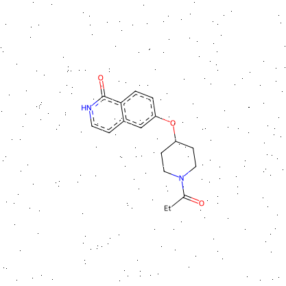 CCC(=O)N1CCC(Oc2ccc3c(=O)[nH]ccc3c2)CC1